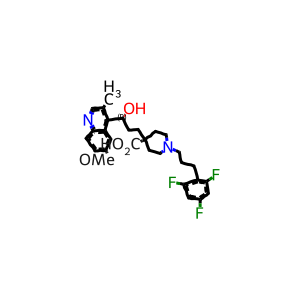 COc1ccc2ncc(C)c([C@H](O)CCC3(C(=O)O)CCN(CCCc4c(F)cc(F)cc4F)CC3)c2c1